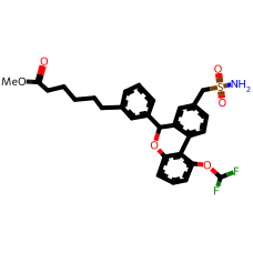 COC(=O)CCCCCc1cccc(C2Oc3cccc(OC(F)F)c3-c3ccc(CS(N)(=O)=O)cc32)c1